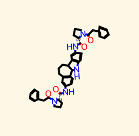 O=C(Nc1ccc2c(c1)CCCC1c3cc(NC(=O)[C@@H]4CCCN4C(=O)Cc4ccccc4)ccc3NC21)[C@@H]1CCCN1C(=O)Cc1ccccc1